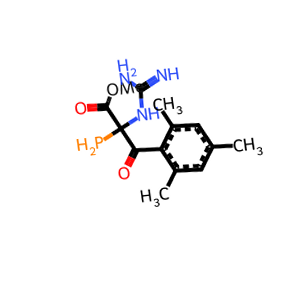 COC(=O)C(P)(NC(=N)N)C(=O)c1c(C)cc(C)cc1C